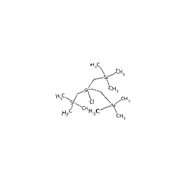 C[Si](C)(C)C[Si](Cl)(C[Si](C)(C)C)C[Si](C)(C)C